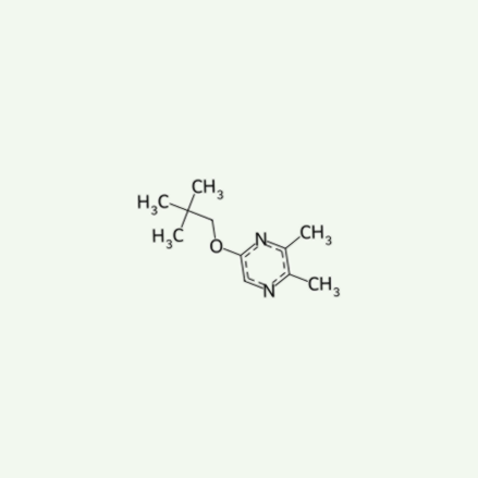 Cc1ncc(OCC(C)(C)C)nc1C